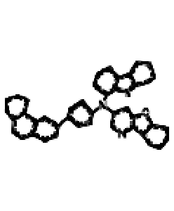 c1ccc2c(c1)ccc1ccc(-c3ccc(N(c4cnc5c(c4)oc4ccccc45)c4cccc5c4sc4ccccc45)cc3)cc12